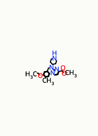 CCOc1cc(CN(c2nccc(C(=O)OC)n2)C2CCNCC2)ccc1C